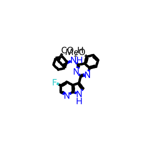 COc1cccc2nc(-c3c[nH]c4ncc(F)cc34)nc(NC3C4CCC(CC4)C3C(=O)O)c12